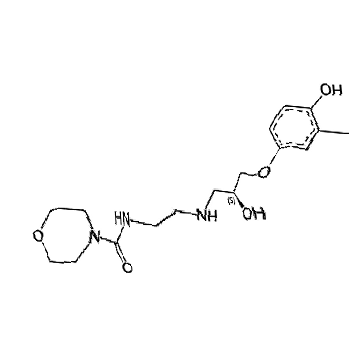 Cc1cc(OC[C@@H](O)CNCCNC(=O)N2CCOCC2)ccc1O